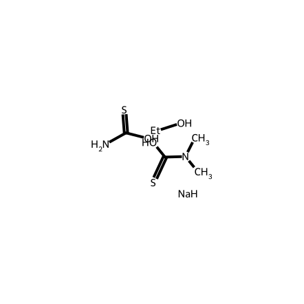 CCO.CN(C)C(O)=S.NC(O)=S.[NaH]